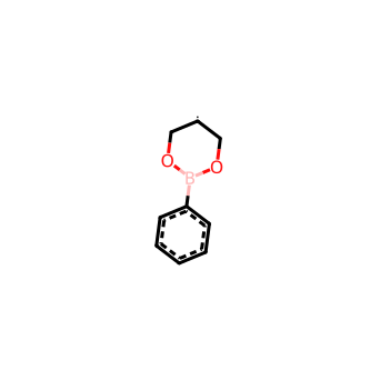 [CH]1COB(c2ccccc2)OC1